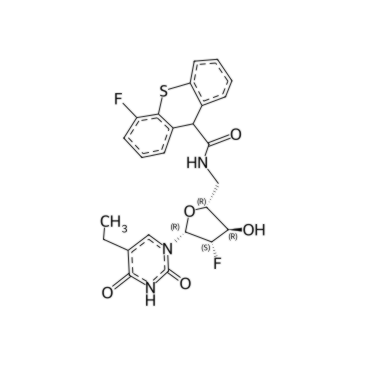 CCc1cn([C@@H]2O[C@H](CNC(=O)C3c4ccccc4Sc4c(F)cccc43)[C@@H](O)[C@@H]2F)c(=O)[nH]c1=O